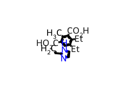 C=Cc1ncc[nH]1.CCc1cc(C(=O)O)c(C)c(C(=O)O)c1CC